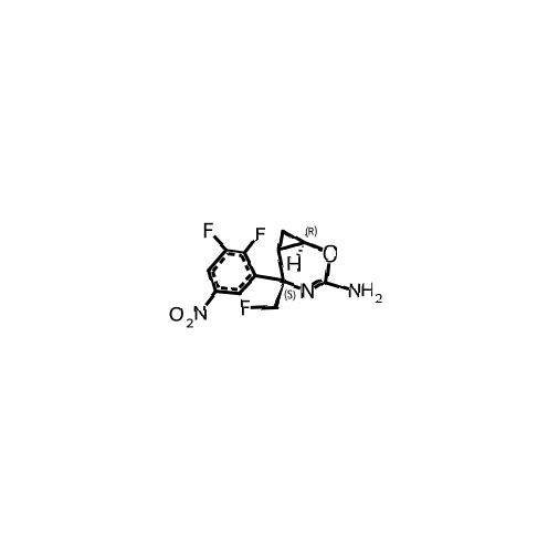 NC1=N[C@](CF)(c2cc([N+](=O)[O-])cc(F)c2F)C2C[C@H]2O1